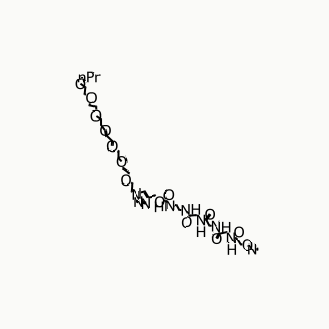 C=NOCC(=O)NCC(=O)NCC(=O)NCC(=O)NCCNC(=O)OCc1cn(CCOCCOCCOCCOCCOCCOCCOCCC)nn1